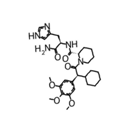 COc1cc([C@@H](C(=O)N2CCCC[C@H]2C(=O)N[C@H](Cc2c[nH]cn2)C(N)=O)C2CCCCC2)cc(OC)c1OC